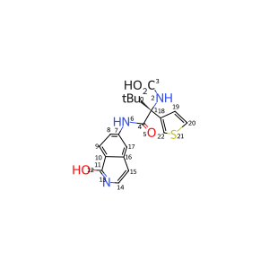 CC(C)(C)[C@](NC(=O)O)(C(=O)Nc1ccc2c(O)nccc2c1)c1ccsc1